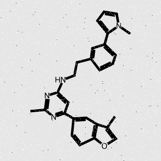 Cc1nc(NCCc2cccc(-c3cccn3C)c2)cc(-c2ccc3occ(C)c3c2)n1